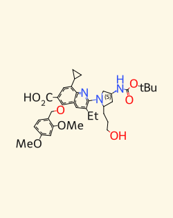 CCc1cc2c(OCc3ccc(OC)cc3OC)c(C(=O)O)cc(C3CC3)c2nc1N1C[C@@H](NC(=O)OC(C)(C)C)CC1CCCO